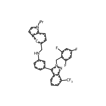 CC(C)n1ccc2cc(CNc3cccc(-c4c5cccc(C(F)(F)F)c5nn4Cc4c(F)cc(F)cc4F)c3)ccc21